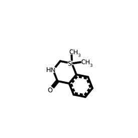 C[Si]1(C)CNC(=O)c2ccccc21